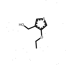 CCOc1cscc1CO